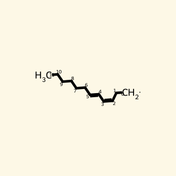 [CH2]C/C=C\C=C\CCCCCC